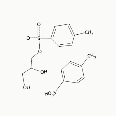 Cc1ccc(S(=O)(=O)O)cc1.Cc1ccc(S(=O)(=O)OCC(O)CO)cc1